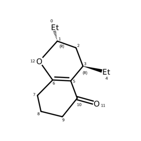 CC[C@@H]1C[C@@H](CC)C2=C(CCCC2=O)O1